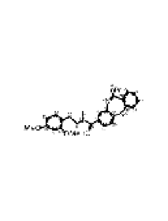 CCCC1=Nc2cc(C(=O)NCCc3ccc(OC)cc3OC)ccc2Sc2ccccc21